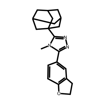 Cn1c(-c2ccc3c(c2)CCO3)nnc1C12CC3CC(CC(C3)C1)C2